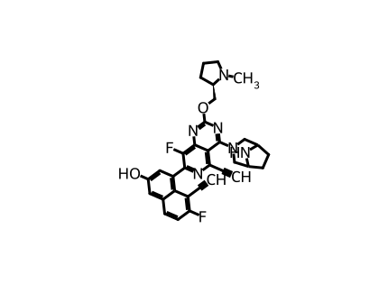 C#Cc1c(F)ccc2cc(O)cc(-c3nc(C#C)c4c(N5CC6CCC(C5)N6)nc(OC[C@H]5CCCN5C)nc4c3F)c12